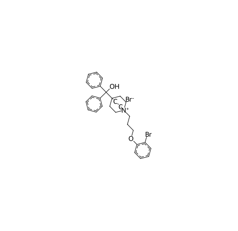 OC(c1ccccc1)(c1ccccc1)C12CC[N+](CCCOc3ccccc3Br)(CC1)CC2.[Br-]